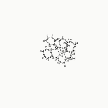 c1ccc([Si]2(c3ccccc3)c3ccccc3-c3ccc4[nH]c5ccccc5c4c32)cc1